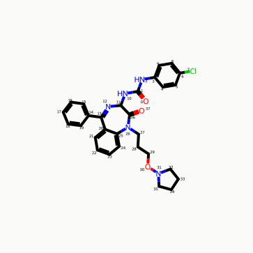 O=C(Nc1ccc(Cl)cc1)NC1N=C(c2ccccc2)c2ccccc2N(CCCON2CCCC2)C1=O